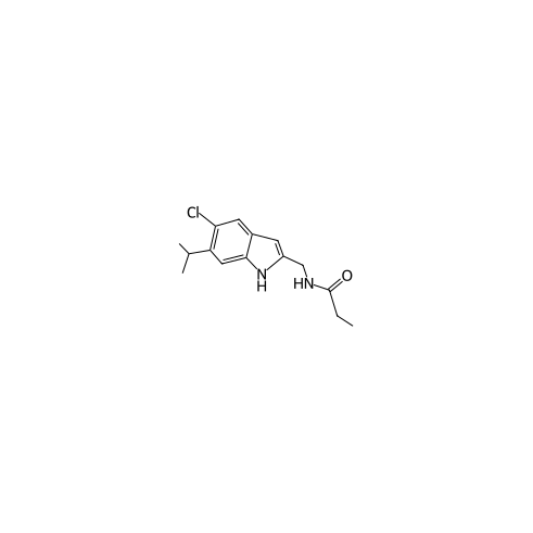 CCC(=O)NCc1cc2cc(Cl)c(C(C)C)cc2[nH]1